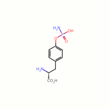 N[C@@H](Cc1ccc(OP(N)(=O)O)cc1)C(=O)O